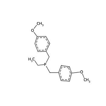 CCP(Cc1ccc(OC)cc1)Cc1ccc(OC)cc1